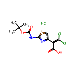 CC(C)(C)OC(=O)Nc1nc(C(C(=O)O)=C(Cl)Cl)cs1.Cl